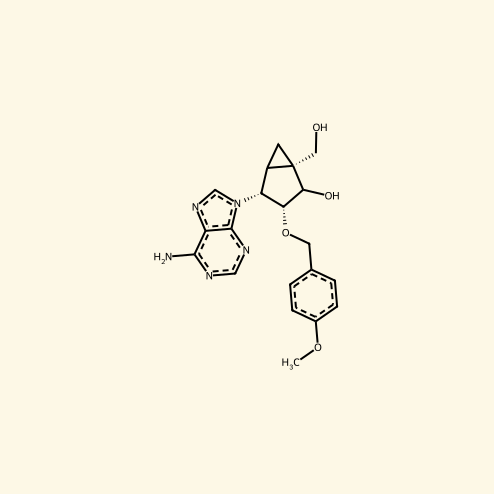 COc1ccc(CO[C@H]2C(O)[C@]3(CO)CC3[C@H]2n2cnc3c(N)ncnc32)cc1